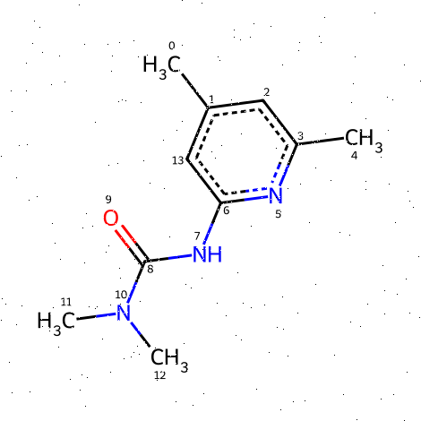 Cc1cc(C)nc(NC(=O)N(C)C)c1